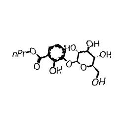 CCCOC(=O)c1cccc(O[C@@H]2O[C@H](CO)[C@@H](O)[C@H](O)[C@H]2O)c1O